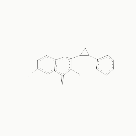 CCCc1c(C2CC2c2ccccc2)oc2ccc(C(=O)O)cc2c1=O